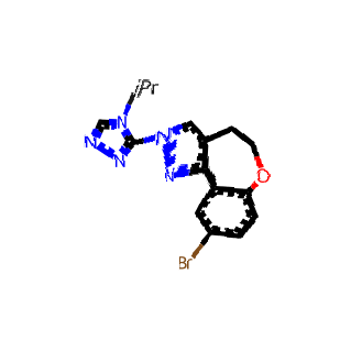 CC(C)n1cnnc1-n1cc2c(n1)-c1cc(Br)ccc1OCC2